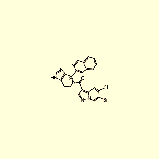 O=C(c1cnn2cc(Br)c(Cl)cc12)N1CCc2[nH]cnc2[C@H]1c1cc2ccccc2cn1